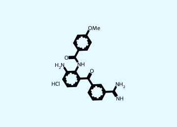 COc1ccc(C(=O)Nc2c(N)cccc2C(=O)c2cccc(C(=N)N)c2)cc1.Cl